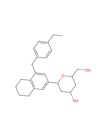 CCc1ccc(Cc2cc(C3CC(O)CC(CO)O3)cc3c2CCCC3)cc1